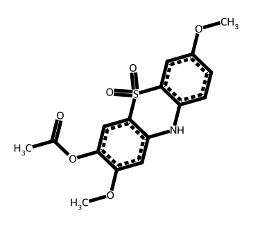 COc1ccc2c(c1)S(=O)(=O)c1cc(OC(C)=O)c(OC)cc1N2